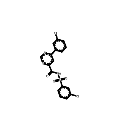 O=C(NS(=O)(=O)c1cccc(Cl)c1)c1cc(-c2cccc(Cl)c2)ncn1